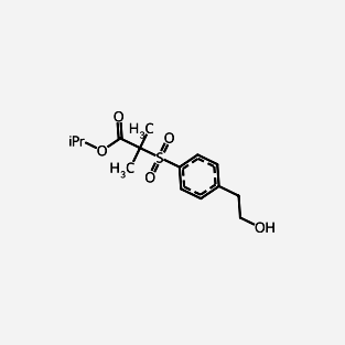 CC(C)OC(=O)C(C)(C)S(=O)(=O)c1ccc(CCO)cc1